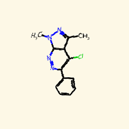 CC1=NN(C)C2N=NC(c3ccccc3)=C(Cl)C12